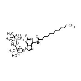 CCCCCCCCCCCC(=O)Nc1nc(F)nc2c1ncn2[C@H]1C[C@H](O)[C@@](C)(CO[Si](C)(C)C(C)(C)C)O1